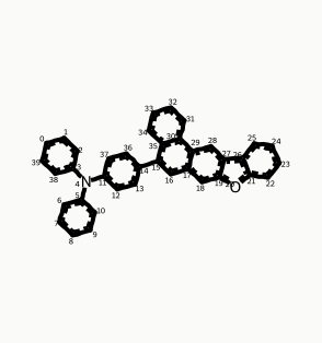 c1ccc(N(c2ccccc2)c2ccc(-c3cc4cc5oc6ccccc6c5cc4c4ccccc34)cc2)cc1